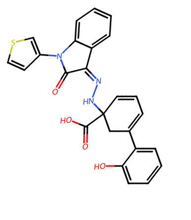 O=C1/C(=N\NC2(C(=O)O)C=CC=C(c3ccccc3O)C2)c2ccccc2N1c1ccsc1